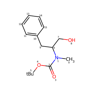 CN(C(=O)OC(C)(C)C)C(CO)Cc1ccccc1